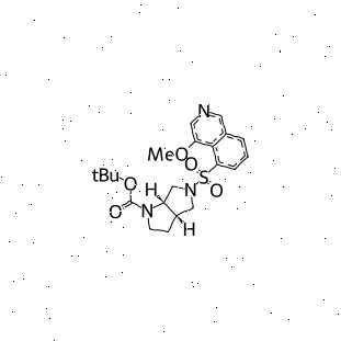 COc1cncc2cccc(S(=O)(=O)N3C[C@@H]4CCN(C(=O)OC(C)(C)C)[C@@H]4C3)c12